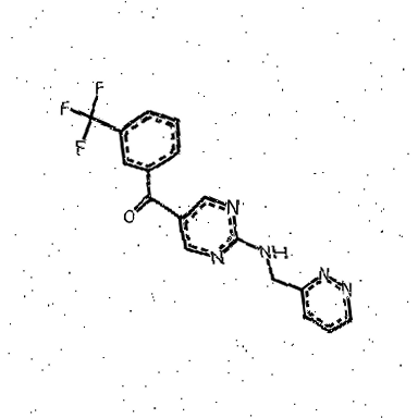 O=C(c1cnc(NCc2cccnn2)nc1)c1cccc(C(F)(F)F)c1